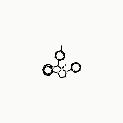 Cc1ccc(C(N2CCSCC2)P2(=O)N(c3ccccc3)CCN2c2ccccc2)cc1